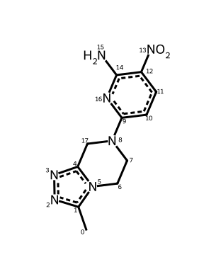 Cc1nnc2n1CCN(c1ccc([N+](=O)[O-])c(N)n1)C2